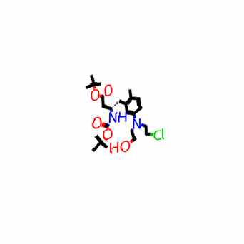 Cc1ccc(N(CCO)CCCl)cc1C[C@@H](CC(=O)OC(C)(C)C)NC(=O)OC(C)(C)C